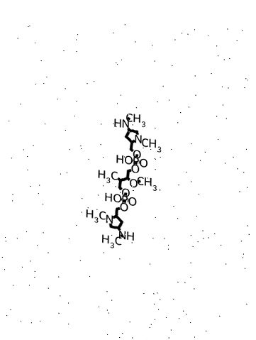 CNC1CC(COP(=O)(O)OCC(C)C(COP(=O)(O)OCC2CC(NC)CN2C)OC)N(C)C1